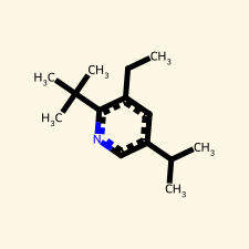 CCc1cc(C(C)C)cnc1C(C)(C)C